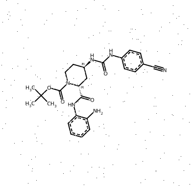 CC(C)(C)OC(=O)N1CC[C@@H](NC(=O)Nc2ccc(C#N)cc2)C[C@@H]1C(=O)Nc1ccccc1N